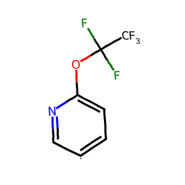 FC(F)(F)C(F)(F)Oc1cc[c]cn1